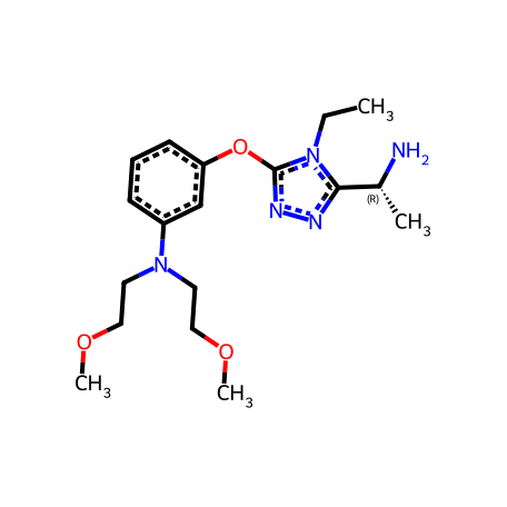 CCn1c(Oc2cccc(N(CCOC)CCOC)c2)nnc1[C@@H](C)N